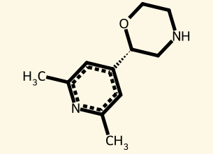 Cc1cc([C@H]2CNCCO2)cc(C)n1